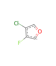 Fc1[c]occ1Cl